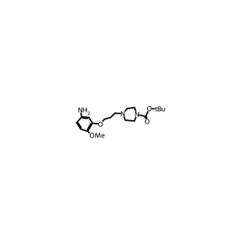 COc1ccc(N)cc1OCCCN1CCN(C(=O)OC(C)(C)C)CC1